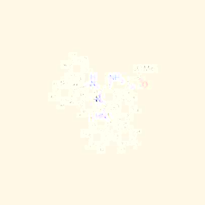 COC(=O)/C=C/c1cc(NC(c2ccccc2)(c2ccccc2)c2ccccc2)nc(NC(c2ccccc2)(c2ccccc2)c2ccccc2)c1N